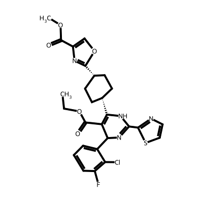 CCOC(=O)C1=C([C@H]2CC[C@@H](c3nc(C(=O)OC)co3)CC2)NC(c2nccs2)=NC1c1cccc(F)c1Cl